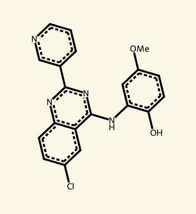 COc1ccc(O)c(Nc2nc(-c3cccnc3)nc3ccc(Cl)cc23)c1